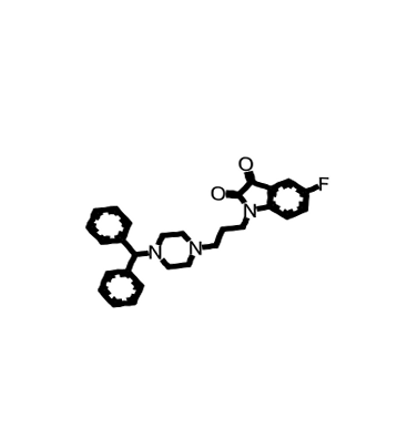 O=C1C(=O)N(CCCN2CCN(C(c3ccccc3)c3ccccc3)CC2)c2ccc(F)cc21